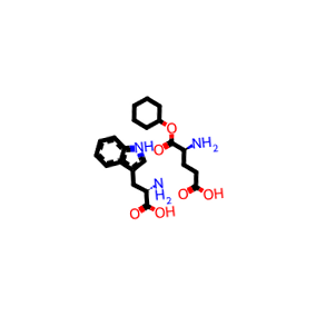 N[C@@H](CCC(=O)O)C(=O)OC1CCCCC1.N[C@@H](Cc1c[nH]c2ccccc12)C(=O)O